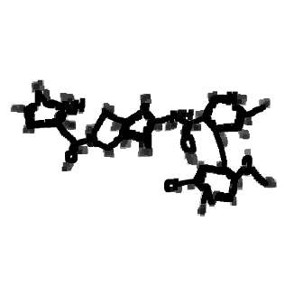 COc1cnc(Cl)cc1-c1cc(C)ncc1C(=O)Nc1nc2c(s1)CN(C(=O)c1ccn[nH]1)C2